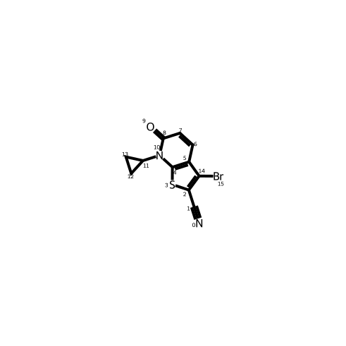 N#Cc1sc2c(ccc(=O)n2C2CC2)c1Br